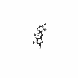 CN1C=NC(O)(C=C2SC(=S)NC2=O)N1